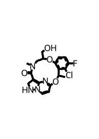 CC1OC2=NC3=C(CNN3C=C2)C(=O)N(C)CC(CO)Oc2ccc(F)c(Cl)c21